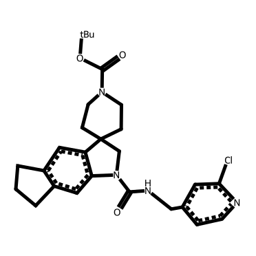 CC(C)(C)OC(=O)N1CCC2(CC1)CN(C(=O)NCc1ccnc(Cl)c1)c1cc3c(cc12)CCC3